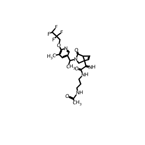 CC(=O)NCCCNC(=O)C(=N)C12C=CC1C(=O)N(C(C)c1cnc(OCC(F)(F)C(F)F)c(C)c1)C2